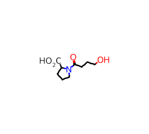 O=C(O)C1CCCN1C(=O)CCCO